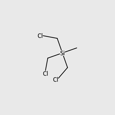 C[Si](CCl)(CCl)CCl